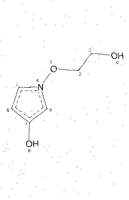 OCCOn1ccc(O)c1